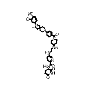 C[C@H]1CC2(CCN(c3ccc(C(=O)N4CCC(NCCNc5ccc(C(=O)N[C@H]6CCC(=O)NC6=O)nc5)CC4)cc3)CC2)CN1c1ccc(C#N)c(Cl)c1